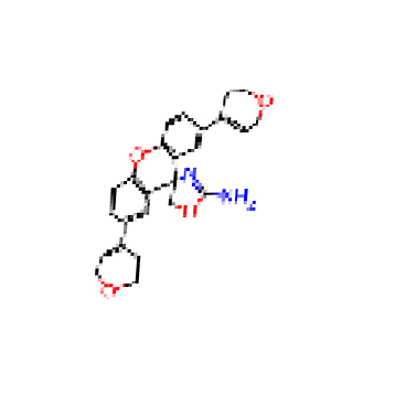 NC1=NC2(CO1)c1cc(C3=CCOCC3)ccc1Oc1ccc(C3=CCOCC3)cc12